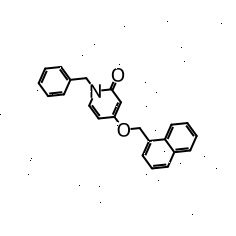 O=c1cc(OCc2cccc3ccccc23)ccn1Cc1ccccc1